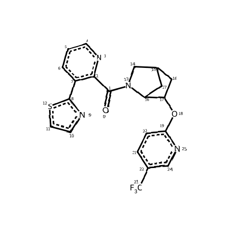 O=C(c1ncccc1-c1nccs1)N1CC2CC(Oc3ccc(C(F)(F)F)cn3)C1C2